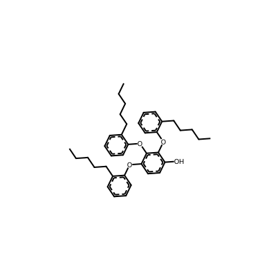 CCCCCc1ccccc1Oc1ccc(O)c(Oc2ccccc2CCCCC)c1Oc1ccccc1CCCCC